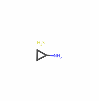 NC1CC1.S